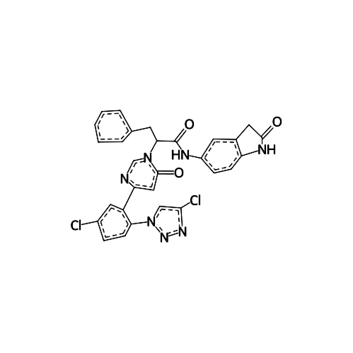 O=C1Cc2cc(NC(=O)C(Cc3ccccc3)n3cnc(-c4cc(Cl)ccc4-n4cc(Cl)nn4)cc3=O)ccc2N1